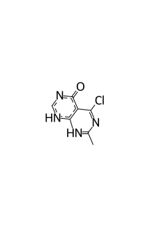 CC(=N)/N=C(/Cl)c1c(C)[nH]cnc1=O